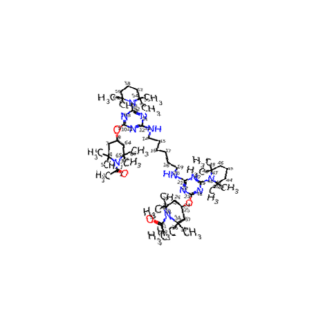 CC(=O)N1C(C)(C)CC(Oc2nc(NCCCCCCNc3nc(OC4CC(C)(C)N(C(C)=O)C(C)(C)C4)nc(N4C(C)(C)CCCC4(C)C)n3)nc(N3C(C)(C)CCCC3(C)C)n2)CC1(C)C